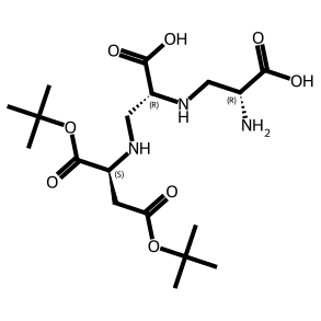 CC(C)(C)OC(=O)C[C@H](NC[C@@H](NC[C@@H](N)C(=O)O)C(=O)O)C(=O)OC(C)(C)C